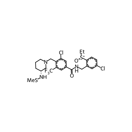 CC[S+]([O-])c1ccc(Cl)cc1CNC(=O)c1cc(Cl)c(CN2CCC[C@@H](NSC)C2)c(C(F)(F)F)c1